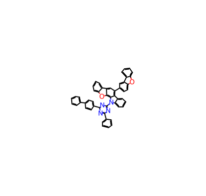 c1ccc(-c2ccc(-c3nc(-c4ccccc4)nc(-n4c5ccccc5c5c(-c6ccc7oc8ccccc8c7c6)cc6c7ccccc7oc6c54)n3)cc2)cc1